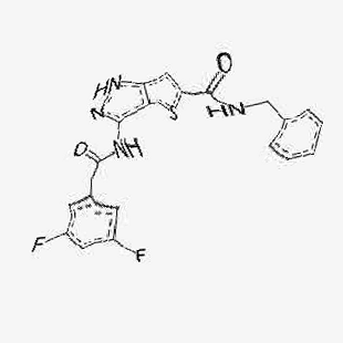 O=C(Nc1n[nH]c2cc(C(=O)NCc3ccccc3)sc12)c1cc(F)cc(F)c1